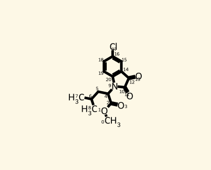 COC(=O)C(CC(C)C)N1C(=O)C(=O)c2cc(Cl)ccc21